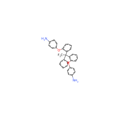 Nc1ccc(Oc2ccccc2C(c2ccccc2)(c2ccccc2Oc2ccc(N)cc2)C(F)(F)F)cc1